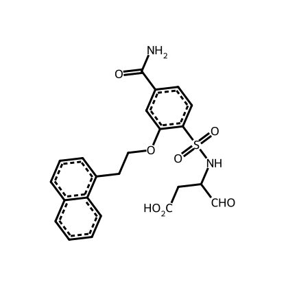 NC(=O)c1ccc(S(=O)(=O)NC(C=O)CC(=O)O)c(OCCc2cccc3ccccc23)c1